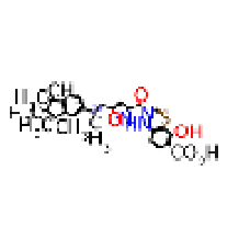 C/C(=C\c1cc(C(=O)N(C=S)Nc2ccc(C(=O)O)c(O)c2)no1)c1ccc2c(c1)C(C)(C)C(C)C2(C)C